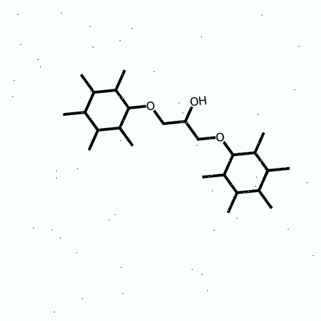 CC1C(C)C(C)C(OCC(O)COC2C(C)C(C)C(C)C(C)C2C)C(C)C1C